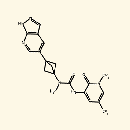 CN(C(=O)Nc1cc(C(F)(F)F)cn(C)c1=O)C12CC(c3cnc4[nH]ncc4c3)(C1)C2